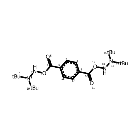 CC(C)(C)N(NOC(=O)c1ccc(C(=O)ONN(C(C)(C)C)C(C)(C)C)cc1)C(C)(C)C